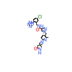 Cc1nc(N2CC3(CNC(=O)C3)C2)ccc1Cn1cc(C(=O)NCc2cc(Cl)ccc2-n2cnnn2)cn1